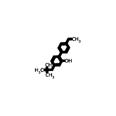 CCc1ccc(-c2ccc(CC(C)(C)C)cc2O)cc1